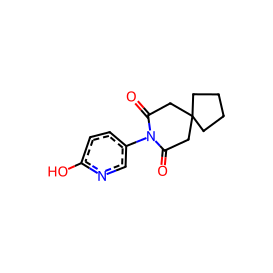 O=C1CC2(CCCC2)CC(=O)N1c1ccc(O)nc1